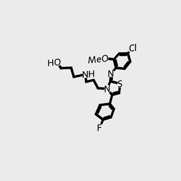 COc1cc(Cl)ccc1N=c1scc(-c2ccc(F)cc2)n1CCCNCCCO